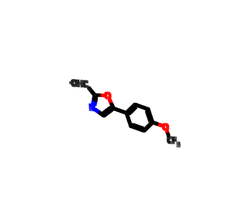 O=[C]c1ncc(-c2ccc(OC(F)(F)F)cc2)o1